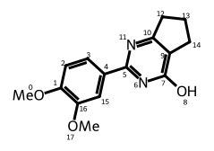 COc1ccc(-c2nc(O)c3c(n2)CCC3)cc1OC